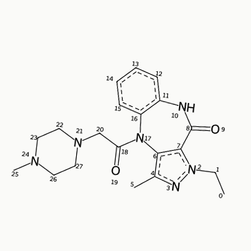 CCn1nc(C)c2c1C(=O)Nc1ccccc1N2C(=O)CN1CCN(C)CC1